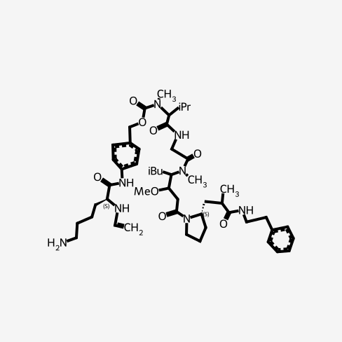 C=CN[C@@H](CCCCN)C(=O)Nc1ccc(COC(=O)N(C)C(C(=O)NCC(=O)N(C)C(C(C)CC)C(CC(=O)N2CCC[C@H]2CC(C)C(=O)NCCc2ccccc2)OC)C(C)C)cc1